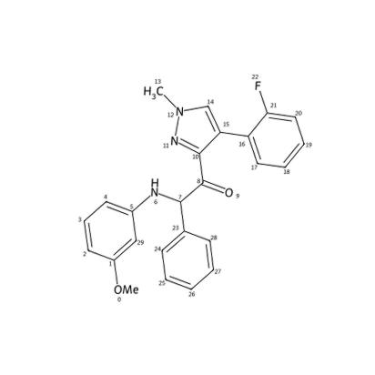 COc1cccc(NC(C(=O)c2nn(C)cc2-c2ccccc2F)c2ccccc2)c1